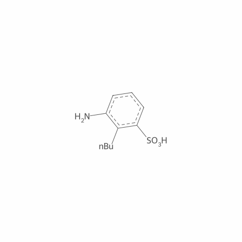 CCCCc1c(N)cccc1S(=O)(=O)O